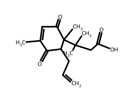 C=CCC1C(=O)C(C)=CC(=O)C1(C)C(C)(C)CC(=O)O